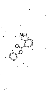 NCc1ccccc1C(=O)Oc1ccccc1